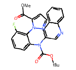 COC(=O)c1ccnn1-c1c(F)cccc1N(C(=O)OC(C)(C)C)c1cnc2ccccc2c1